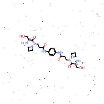 N[C@@H](CO)C(=O)N(CCC(=O)Nc1ccc(NC(=O)CCN(C(=O)[C@@H](N)CO)N2CCC2)cc1)N1CCC1